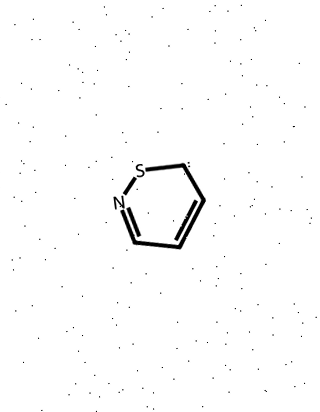 [C]1C=CC=NS1